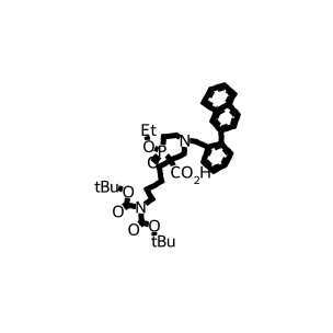 CCOP1(=O)CCN(Cc2ccccc2-c2ccc3ccccc3c2)CC1(CCCCN(C(=O)OC(C)(C)C)C(=O)OC(C)(C)C)C(=O)O